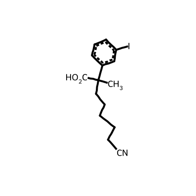 CC(CCCCCC#N)(C(=O)O)c1cccc(I)c1